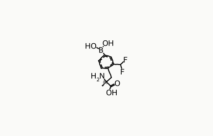 C[C@@](N)(Cc1ccc(B(O)O)cc1C(F)F)C(=O)O